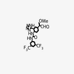 COC=C(C=O)c1ccc(NC(=O)Nc2cc(C(F)(F)F)cc(C(F)(F)F)c2)c(-c2nnn[nH]2)c1